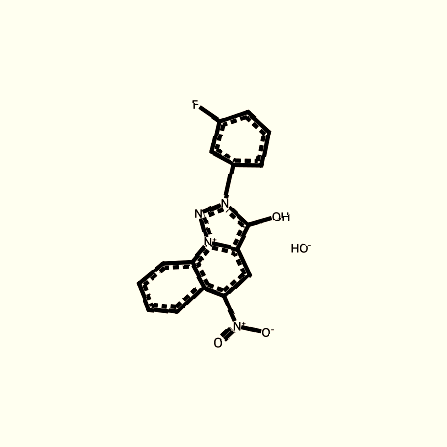 O=[N+]([O-])c1cc2c(O)n(-c3cccc(F)c3)n[n+]2c2ccccc12.[OH-]